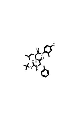 Cc1cc(Cl)ccc1OC(=O)[C@H](CC(C)C)NC(=O)[C@H](Cc1ccccc1)NC(=O)OC(C)(C)C